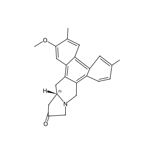 COc1cc2c3c(c4ccc(C)cc4c2cc1C)CN1CC(=O)C[C@@H]1C3